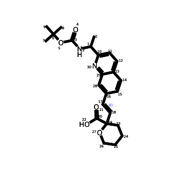 CC(NC(=O)OC(C)(C)C)c1ccc2ccc(/C=C/C3(C(=O)O)CCCCO3)cc2n1